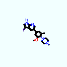 COc1cc(-c2cnc3[nH]cc(I)c3c2)cc(C)c1N1CCN(C)CC1